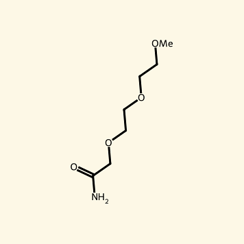 COCCOCCOCC(N)=O